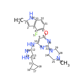 Cc1cc2c(F)c(Oc3cc(Nc4cc(C5CCC5)[nH]n4)nc(N4CCN(C)CC4)n3)ccc2[nH]1